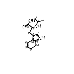 CC(C)NC(Cc1c[nH]c2c1C=CCC2)C(=O)O